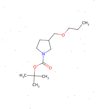 CCCOCC1CCN(C(=O)OC(C)(C)C)C1